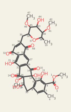 COC(=O)c1c(C)cc2c(c1O)C1(O)C(=O)c3cc4c(c(O)c3C(=O)C1(OC)C(O)C2)C(=O)C=C(CC1OC(C)C(OC)C(O)C1OC)C4=O